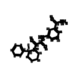 C[C@@]1(c2ccccc2)CCCCN1C(=O)C(=O)Nc1cncc(C(N)=O)c1